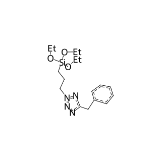 CCO[Si](CCCn1nnc(Cc2ccccc2)n1)(OCC)OCC